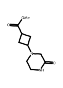 COC(=O)C1CC(N2CCNC(=O)C2)C1